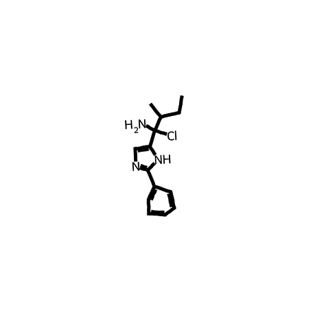 CCC(C)C(N)(Cl)c1cnc(-c2ccccc2)[nH]1